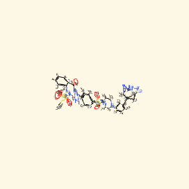 CN(c1ccccc1C(=O)Nc1ccc(S(=O)(=O)N2CCN(c3cccc(C4(CN)CC4)c3)CC2)cc1)S(C)(=O)=O